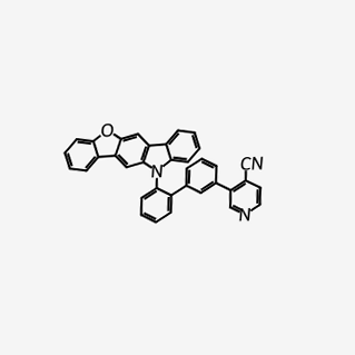 N#Cc1ccncc1-c1cccc(-c2ccccc2-n2c3ccccc3c3cc4oc5ccccc5c4cc32)c1